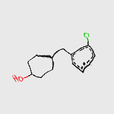 OC1CCC(Cc2cc[c]cc2Cl)CC1